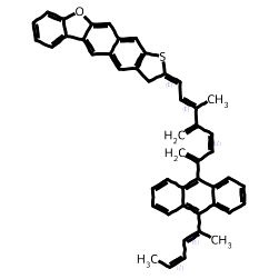 C=C(/C=C\C(=C)c1c2ccccc2c(/C(C)=C/C=C\C)c2ccccc12)/C(C)=C/C=C1\Cc2cc3cc4c(cc3cc2S1)oc1ccccc14